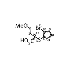 COCCC(C)(Sc1sccc1Br)C(=O)O